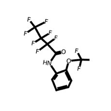 CC(F)(F)Oc1ccccc1NC(=O)C(F)(F)C(F)(F)C(F)(F)F